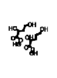 O=C(OO)C(O)CCCO.O=C(OO)C(O)CCO